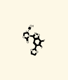 C#C[C@H]1COC(=O)N1c1noc2c(F)c(F)c(C3OCCO3)cc12